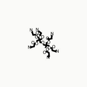 N#CCC(=O)OCC(COCC(COC(=O)CC#N)(COC(=O)CC#N)COC(=O)CC#N)(COC(=O)CC#N)COC(=O)CC#N